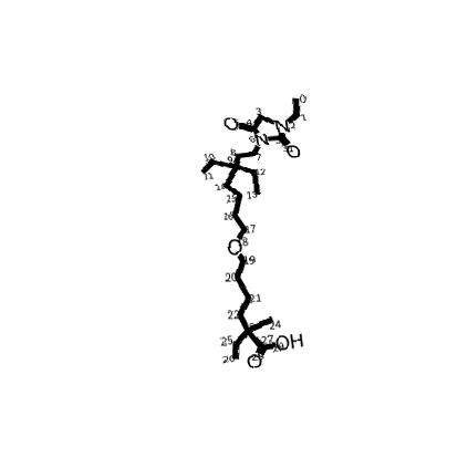 CCN1CC(=O)N(CCC(CC)(CC)CCCCOCCCCC(C)(CC)C(=O)O)C1=O